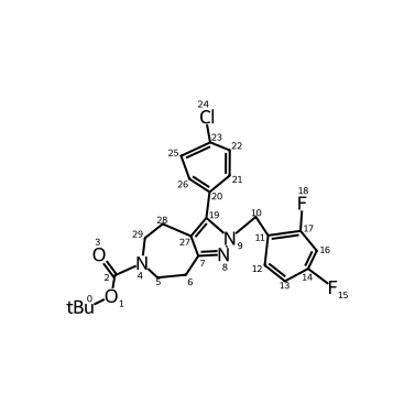 CC(C)(C)OC(=O)N1CCc2nn(Cc3ccc(F)cc3F)c(-c3ccc(Cl)cc3)c2CC1